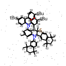 Cc1cc2c3c(c1)N(c1ccc4c(c1)C(C)(C)CCC4(C)C)C1c4cc5c(cc4SC1(C)B3c1cc(C(C)(C)C)ccc1N2c1ccc(C(C)(C)C)cc1-c1c#cc(C(C)(C)C)cc1)C(C)(C)CCC5(C)C